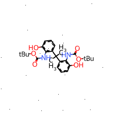 CC(C)(C)OC(=O)Nc1c(O)cccc1C(C)(C)c1cccc(O)c1NC(=O)OC(C)(C)C